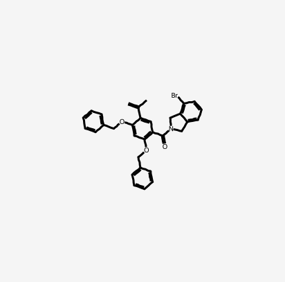 C=C(C)c1cc(C(=O)N2Cc3cccc(Br)c3C2)c(OCc2ccccc2)cc1OCc1ccccc1